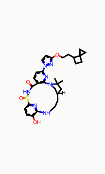 CC1(C)C[C@@H]2CCCNc3nc(ccc3O)[S+]([O-])NC(=O)c3ccc(-n4ccc(OCCC5CCC56CC6)n4)nc3N1C2